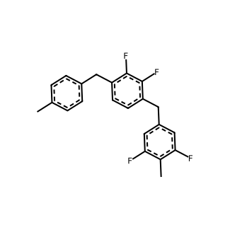 Cc1ccc(Cc2ccc(Cc3cc(F)c(C)c(F)c3)c(F)c2F)cc1